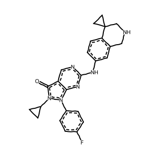 O=c1c2cnc(Nc3ccc4c(c3)CNCC43CC3)nc2n(-c2ccc(F)cc2)n1C1CC1